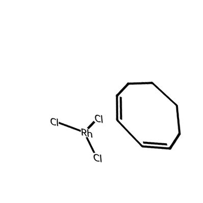 C1=CCCCCC=C1.[Cl][Rh]([Cl])[Cl]